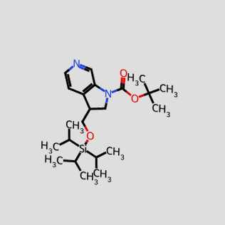 CC(C)[Si](OCC1CN(C(=O)OC(C)(C)C)c2cnccc21)(C(C)C)C(C)C